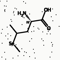 C[Se]C(C)C[C@H](N)C(=O)O